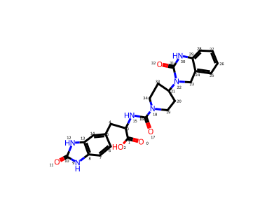 O=C(O)C(Cc1ccc2[nH]c(=O)[nH]c2c1)NC(=O)N1CCC(N2Cc3ccccc3NC2=O)CC1